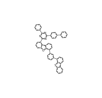 c1ccc(-c2ccc(-c3nc(-c4ccccc4)nc(-c4cccc5oc6c(-c7cccc(-c8cccc9c8sc8ccccc89)c7)cccc6c45)n3)cc2)cc1